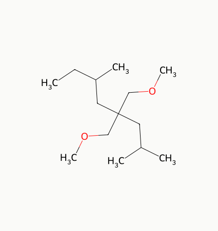 CCC(C)CC(COC)(COC)CC(C)C